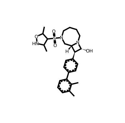 Cc1cccc(-c2ccc([C@@H]3[C@@H](O)N4CCCCN(S(=O)(=O)C5C(C)NOC5C)C[C@@H]34)cc2)c1C